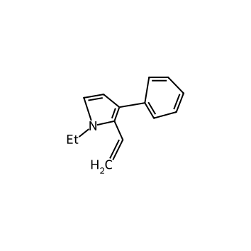 C=Cc1c(-c2ccccc2)ccn1CC